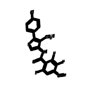 COc1cc(F)c(C(=O)Nc2csc(-c3ccc(Cl)cc3)c2C(=O)O)c(F)c1F